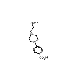 COCCN1CCN(c2ccc(C(=O)O)cc2)CC1